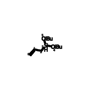 C=CC[SiH](OCC(C)C)OCC(C)C